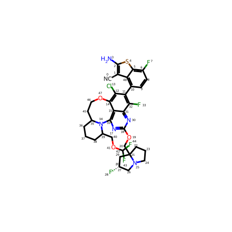 N#Cc1c(N)sc2c(F)ccc(-c3c(Cl)c4c5c(nc(OCC67CCCN6C[C@H](F)C7)nc5c3F)N3C(CCCC3COC(F)F)CCO4)c12